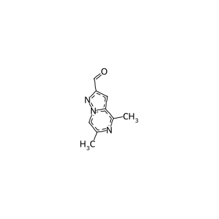 Cc1cn2nc(C=O)cc2c(C)n1